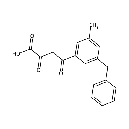 Cc1cc(Cc2ccccc2)cc(C(=O)CC(=O)C(=O)O)c1